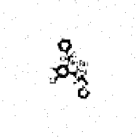 CCCCN(c1cc(F)c(Cl)cc1-c1nnc(CN2CCCC2)n1C)S(=O)(=O)c1ccccc1